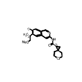 COC[C@H](C)c1cc2cc(NC(=O)[C@H]3CC34CCOCC4)ncc2cc1Cl